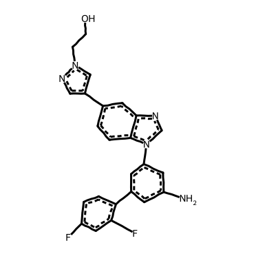 Nc1cc(-c2ccc(F)cc2F)cc(-n2cnc3cc(-c4cnn(CCO)c4)ccc32)c1